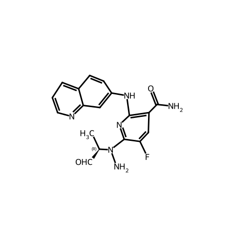 C[C@H](C=O)N(N)c1nc(Nc2ccc3cccnc3c2)c(C(N)=O)cc1F